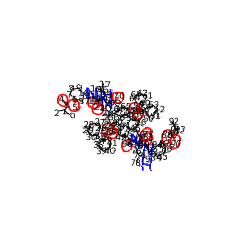 C=C(C)C(=O)OC1CCCC(NC(=O)C(CC(C)C)N2C(=O)c3cc(Oc4ccccc4)c4c5c(Oc6ccccc6)cc6c7c(cc(Oc8ccccc8)c(c8c(Oc9ccccc9)cc(c3c48)C2=O)c75)C(=O)N(C(CC(C)C)C(=O)NC2CCCC(OC(=O)C(=C)C)C2)C6=O)C1